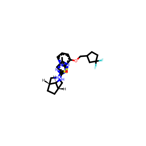 Cc1cc(N2C[C@H]3CC[C@@H](C2)[C@@H]3Nc2nc3c(OCC4CCC(F)(F)C4)cccn3n2)sn1